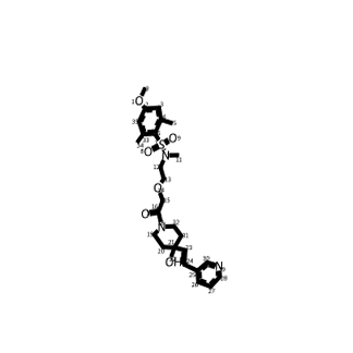 COc1cc(C)c(S(=O)(=O)N(C)CCOCC(=O)N2CCC(O)(/C=C/c3cccnc3)CC2)c(C)c1